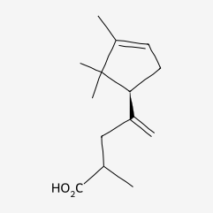 C=C(CC(C)C(=O)O)[C@@H]1CC=C(C)C1(C)C